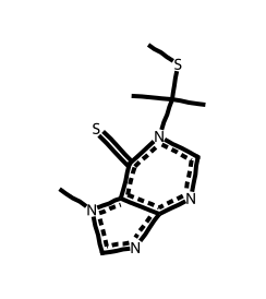 CSC(C)(C)n1cnc2ncn(C)c2c1=S